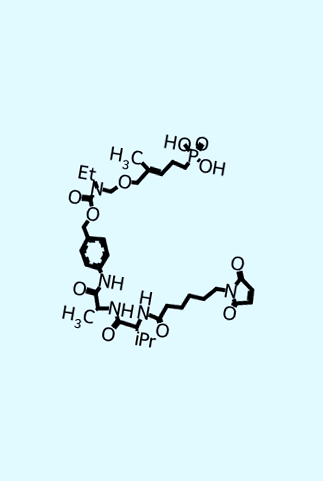 CCN(COC/C(C)=C/CCP(=O)(O)O)C(=O)OCc1ccc(NC(=O)[C@H](C)NC(=O)[C@@H](NC(=O)CCCCCN2C(=O)C=CC2=O)C(C)C)cc1